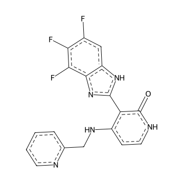 O=c1[nH]ccc(NCc2ccccn2)c1-c1nc2c(F)c(F)c(F)cc2[nH]1